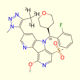 [2H]C([2H])([2H])c1nnn(C)c1-c1cnc2c3c(OC)ncc(S(C)(=O)=O)c3n([C@H](c3ccccc3F)C3CCOCC3)c2c1